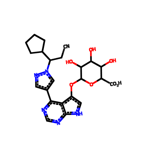 N#CCC(C1CCCC1)n1cc(-c2ncnc3[nH]cc(OC4OC(C(=O)O)C(O)C(O)C4O)c23)cn1